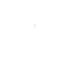 CCCCCCCCCCCCOC(=O)CCC.O=S(=O)(O)O.[NaH]